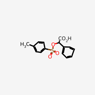 Cc1ccc(S(=O)(=O)OC(C(=O)O)c2ccccc2)cc1